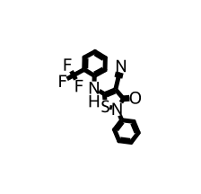 N#Cc1c(Nc2ccccc2C(F)(F)F)sn(-c2ccccc2)c1=O